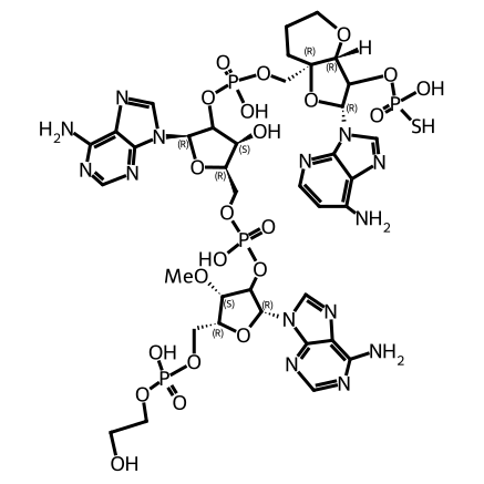 CO[C@@H]1C(OP(=O)(O)OC[C@H]2O[C@@H](n3cnc4c(N)ncnc43)C(OP(=O)(O)OC[C@]34CCCO[C@@H]3C(OP(=O)(O)S)[C@H](n3cnc5c(N)ccnc53)O4)[C@H]2O)[C@H](n2cnc3c(N)ncnc32)O[C@@H]1COP(=O)(O)OCCO